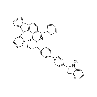 CCn1c(-c2ccc(-c3ccc(-c4cccc5c4nc(-c4ccccc4)c4ccc6c7ccccc7n(-c7ccccc7)c6c45)cc3)cc2)nc2ccccc21